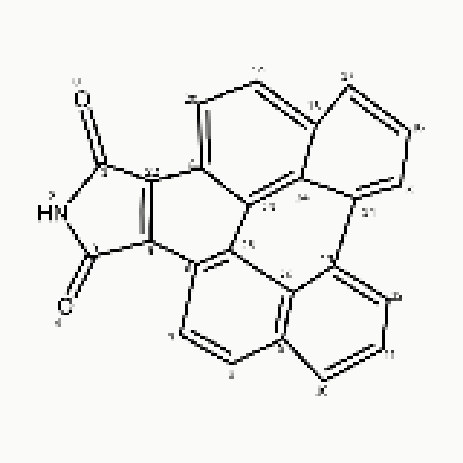 O=c1[nH]c(=O)c2c3ccc4cccc5c6cccc7ccc(c12)c(c76)c3c45